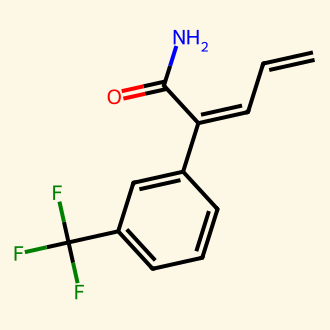 C=CC=C(C(N)=O)c1cccc(C(F)(F)F)c1